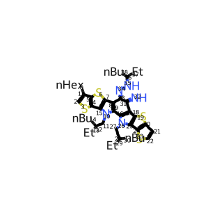 CCCCCCc1csc2c1sc1c3c(n(CC(CC)CCCC)c12)-c1c(c2sc4ccsc4c2n1CC(CC)CCCC)C(=N)/C3=N\NC(CC)CCCC